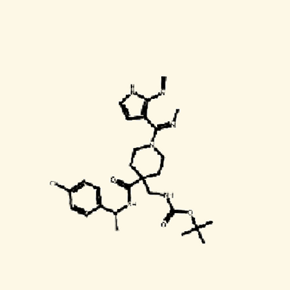 C=Nc1[nH]ccc1/C(=N\C)N1CCC(CNC(=O)OC(C)(C)C)(C(=O)N[C@@H](C)c2ccc(Cl)cc2)CC1